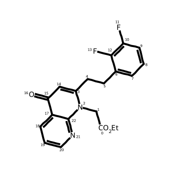 CCOC(=O)Cn1c(CCc2cccc(F)c2F)cc(=O)c2cccnc21